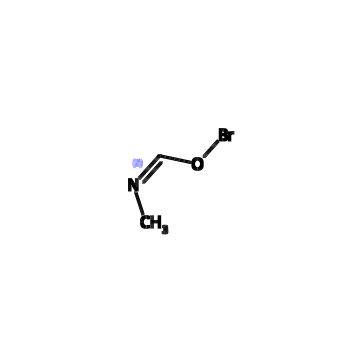 C/N=C\OBr